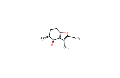 C=C1CCc2oc(C)c(C)c2C1=O